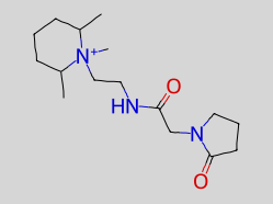 CC1CCCC(C)[N+]1(C)CCNC(=O)CN1CCCC1=O